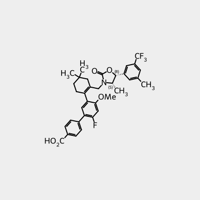 COc1cc(F)c(-c2ccc(C(=O)O)cc2)cc1C1=C(CN2C(=O)O[C@H](c3cc(C)cc(C(F)(F)F)c3)[C@@H]2C)CC(C)(C)CC1